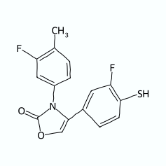 Cc1ccc(-n2c(-c3ccc(S)c(F)c3)coc2=O)cc1F